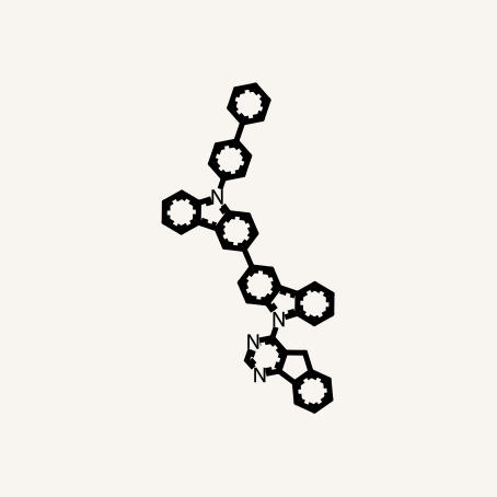 c1ccc(-c2ccc(-n3c4ccccc4c4cc(-c5ccc6c(c5)c5ccccc5n6-c5ncnc6c5Cc5ccccc5-6)ccc43)cc2)cc1